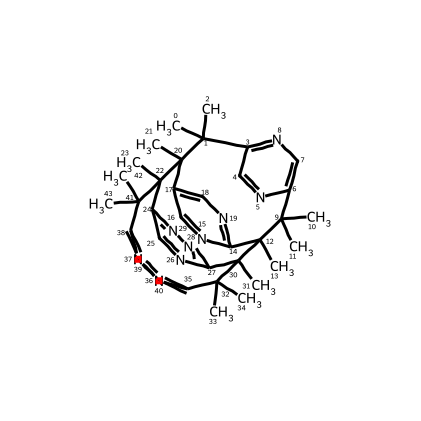 CC1(C)c2cnc(cn2)C(C)(C)C2(C)c3ncc(cn3)C1(C)C1(C)c3cnc(nn3)C2(C)C(C)(C)c2nnc(nn2)C1(C)C